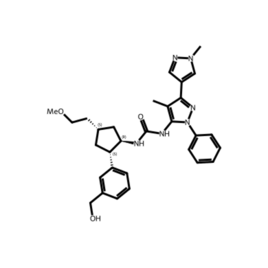 COCC[C@@H]1C[C@@H](NC(=O)Nc2c(C)c(-c3cnn(C)c3)nn2-c2ccccc2)[C@H](c2cccc(CO)c2)C1